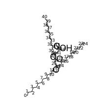 CCCCCCCCCCCCO[C@H](CCCCCCCCCCC)CC(=O)O[C@H](CCCCCCCCCCC)CC(=O)O